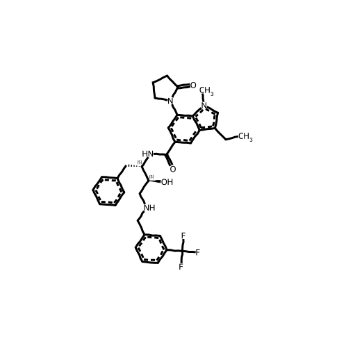 CCc1cn(C)c2c(N3CCCC3=O)cc(C(=O)N[C@@H](Cc3ccccc3)[C@@H](O)CNCc3cccc(C(F)(F)F)c3)cc12